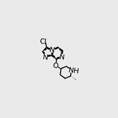 C[C@@H]1CC[C@@H](Oc2nccn3c(Cl)cnc23)CN1